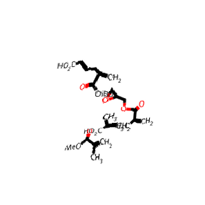 C=C(C)C(=O)O.C=C(C)C(=O)OC.C=C(C)C(=O)OCC1CO1.C=C(CC=CC(=O)O)C(=O)OCC(C)C